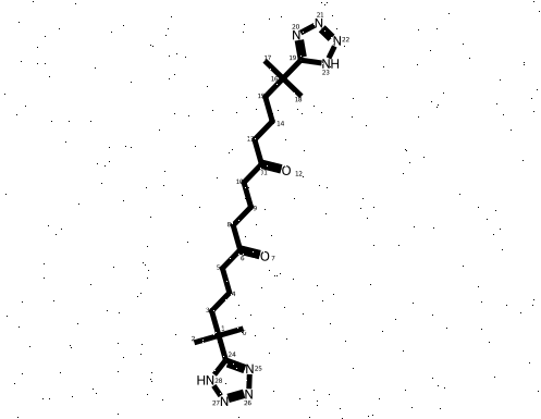 CC(C)(CCCC(=O)CCCC(=O)CCCC(C)(C)c1nnn[nH]1)c1nnn[nH]1